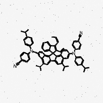 C=CC1=C(/C=C\C)c2ccccc2C12c1c(cc(C(C)C)c3cc(N(c4ccc(C#N)cc4)c4ccc(C(C)C)cc4)ccc13)-c1cc(C(C)C)c3cc(N(c4ccc(C#N)cc4)c4ccc(C(C)C)cc4)ccc3c12